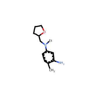 CCN(CC1CCCO1)c1ccc(C)c(N)c1